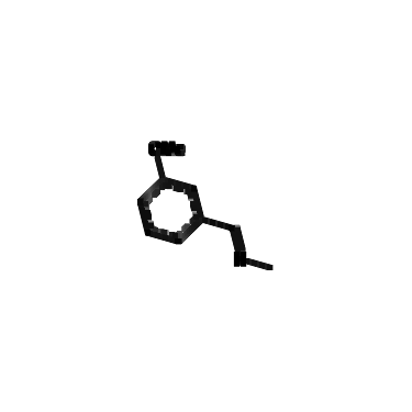 CN=Cc1cccc(OC)c1